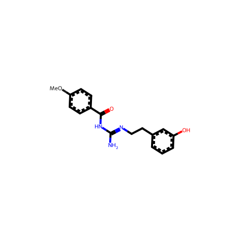 COc1ccc(C(=O)NC(N)=NCCc2cccc(O)c2)cc1